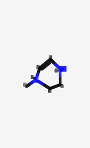 CN1C=CNCC1